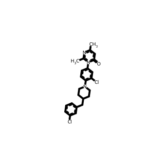 Cc1cc(=O)n(-c2ccc(N3CCC(Cc4cccc(Cl)c4)CC3)c(Cl)c2)c(C)n1